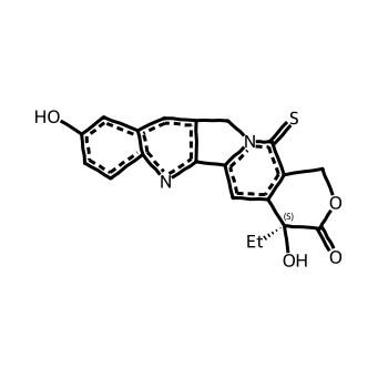 CC[C@@]1(O)C(=O)OCc2c1cc1n(c2=S)Cc2cc3cc(O)ccc3nc2-1